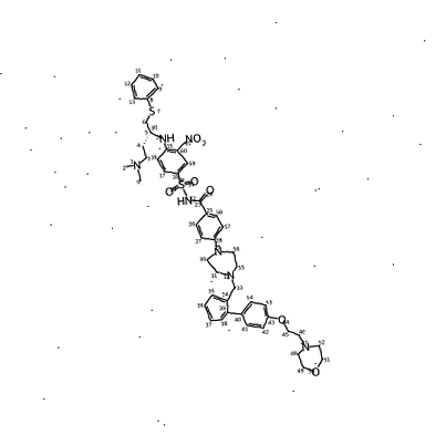 CN(C)CC[C@H](CSc1ccccc1)Nc1ccc(S(=O)(=O)NC(=O)c2ccc(N3CCN(Cc4ccccc4-c4ccc(OCCN5CCOCC5)cc4)CC3)cc2)cc1[N+](=O)[O-]